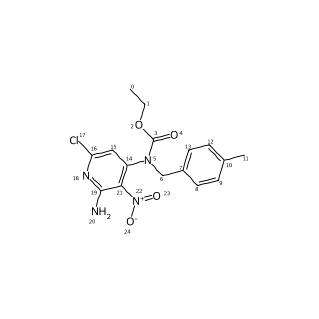 CCOC(=O)N(Cc1ccc(C)cc1)c1cc(Cl)nc(N)c1[N+](=O)[O-]